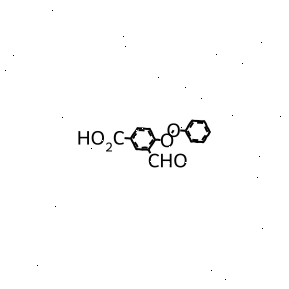 O=Cc1cc(C(=O)O)ccc1OOc1ccccc1